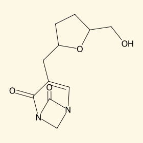 O=c1c(CC2CCC(CO)O2)cn2c(=O)n1C2